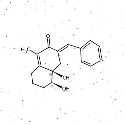 CC1=C2CCC[C@H](O)[C@@]2(C)CC(=Cc2ccncc2)C1=O